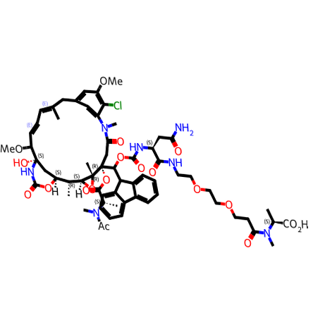 COc1cc2cc(c1Cl)N(C)C(=O)C[C@@](OC(=O)[C@H](C)N(C)C(C)=O)(C(OC(=O)N[C@@H](CC(N)=O)C(=O)NCCOCCOCCC(=O)N(C)[C@@H](C)C(=O)O)C1c3ccccc3-c3ccccc31)[C@]1(C)O[C@H]1[C@H](C)[C@@H]1C[C@@](O)(NC(=O)O1)C(OC)/C=C/C=C(\C)C2